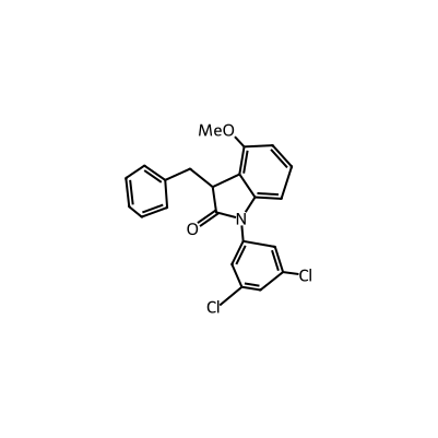 COc1cccc2c1C(Cc1ccccc1)C(=O)N2c1cc(Cl)cc(Cl)c1